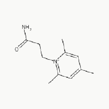 Cc1cc(C)[n+](CCC(N)=O)c(C)c1